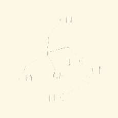 C#CC.CC[Si](N)(CC)CC